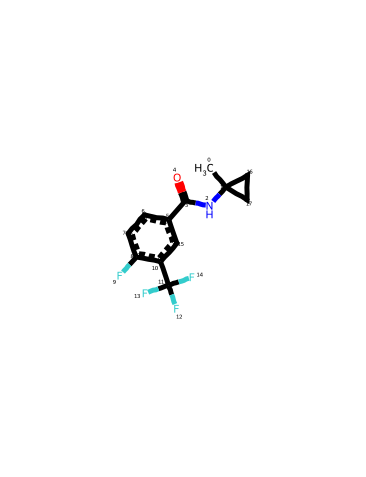 CC1(NC(=O)c2ccc(F)c(C(F)(F)F)c2)CC1